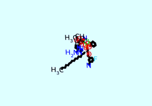 CCCCCCCCCCCCCCCC[C@H](COP(=O)(OC[C@@]1(C#N)O[C@@H](c2ccc3c(N)ncnn23)[C@@H]2OC(C)(C)O[C@@H]21)Oc1ccccc1Cl)OCc1cc(F)cc(C#N)c1